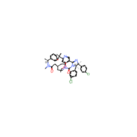 CCOc1cc(C(C)(C)C)ncc1C1=N[C@@](C)(c2ccc(Cl)cc2)[C@@](C)(c2ccc(Cl)cc2)N1C(=O)N1CCC(CC(=O)N(C)[C@@H](C)c2ccccc2)CC1